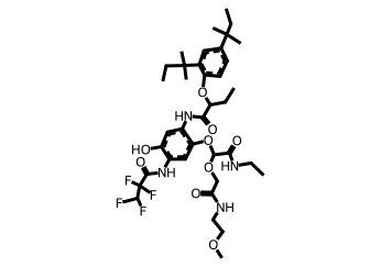 CCNC(=O)C(OCC(=O)NCCOC)Oc1cc(NC(=O)C(F)(F)C(F)F)c(O)cc1NC(=O)C(CC)Oc1ccc(C(C)(C)CC)cc1C(C)(C)CC